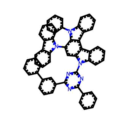 c1ccc(-c2cccc(-c3nc(-c4ccccc4)nc(-n4c5ccccc5c5c6c7ccccc7n(-c7ccccc7)c6c(-n6c7ccccc7c7ccccc76)cc54)n3)c2)cc1